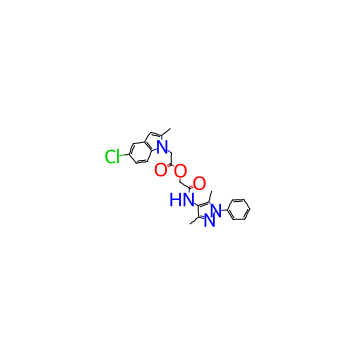 Cc1nn(-c2ccccc2)c(C)c1NC(=O)COC(=O)Cn1c(C)cc2cc(Cl)ccc21